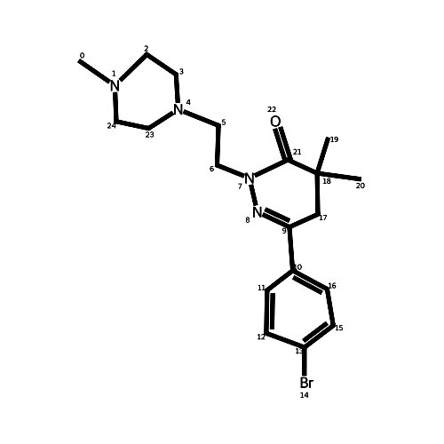 CN1CCN(CCN2N=C(c3ccc(Br)cc3)CC(C)(C)C2=O)CC1